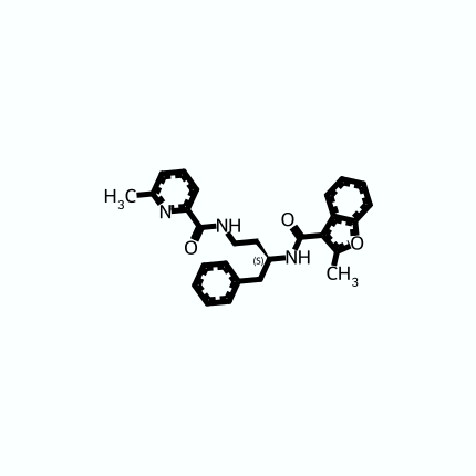 Cc1cccc(C(=O)NCC[C@H](Cc2ccccc2)NC(=O)c2c(C)oc3ccccc23)n1